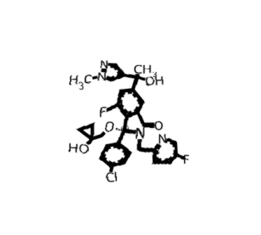 Cn1cc(C(C)(O)c2cc(F)c3c(c2)C(=O)N(Cc2ccc(F)cn2)[C@@]3(OCC2(O)CC2)c2ccc(Cl)cc2)cn1